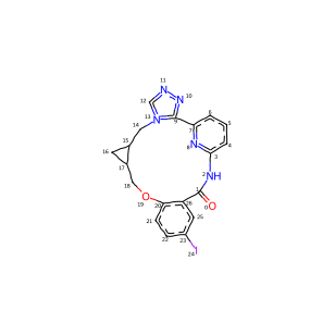 O=C1Nc2cccc(n2)-c2nncn2CC2CC2COc2ccc(I)cc21